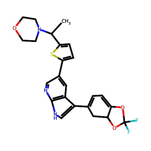 CC(c1ccc(-c2cnc3[nH]cc(C4=CC=C5OC(F)(F)OC5C4)c3c2)s1)N1CCOCC1